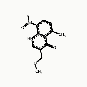 COCc1c[nH]c2c([N+](=O)[O-])ccc(C)c2c1=O